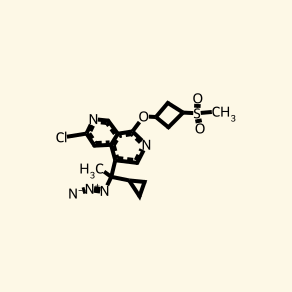 CC(N=[N+]=[N-])(c1cnc(OC2CC(S(C)(=O)=O)C2)c2cnc(Cl)cc12)C1CC1